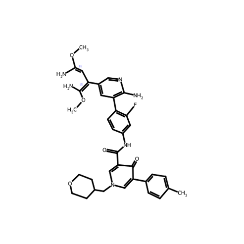 CO/C(N)=C(/C=C(\N)OC)c1cnc(N)c(-c2ccc(NC(=O)c3cn(CC4CCOCC4)cc(-c4ccc(C)cc4)c3=O)cc2F)c1